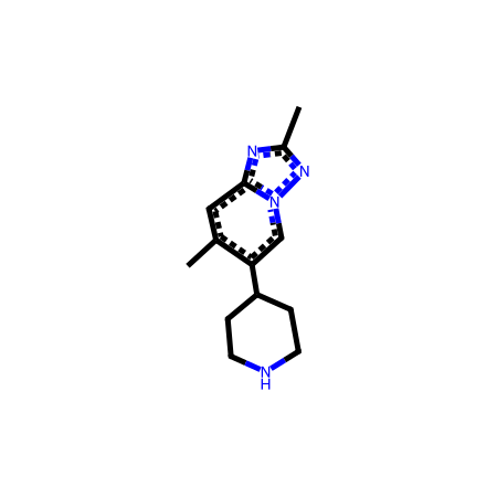 Cc1nc2cc(C)c(C3CCNCC3)cn2n1